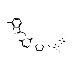 Cc1cccc2c(Cn3c(=O)ccn([C@@H]4O[C@H](COP(=O)(O)OP(=O)(O)O)[C@H](O)[C@@H]4O)c3=O)noc12